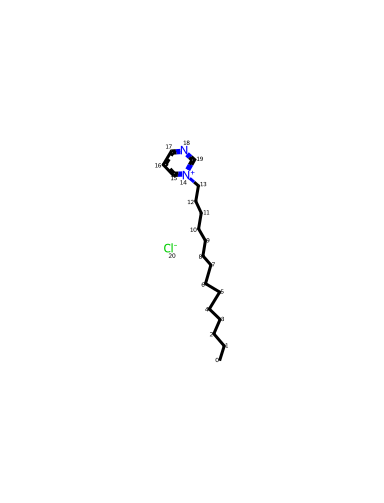 CCCCCCCCCCCCCC[n+]1cccnc1.[Cl-]